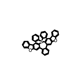 c1ccc(S2(c3ccccc3)c3cc4c(cc3-c3ccccc3-c3cc5oc6ccccc6c5cc32)oc2ccccc24)cc1